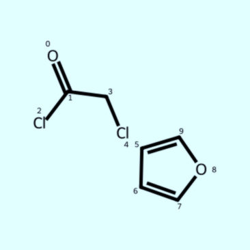 O=C(Cl)CCl.c1ccoc1